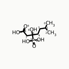 CC(C)CCC(O)(CC(=O)O)P(=O)(O)O